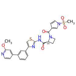 COc1cc(-c2cccc(-c3csc(NC(=O)[C@@H]4CCN4C(=O)c4ccn(S(C)(=O)=O)c4)n3)c2)ccn1